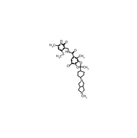 CSc1cc(C)[nH]c(=O)c1CNC(=O)c1cc(Cl)c2c(c1C)OC(C)(C1CCC(N3CC4CN(C)CC4C3)CC1)O2